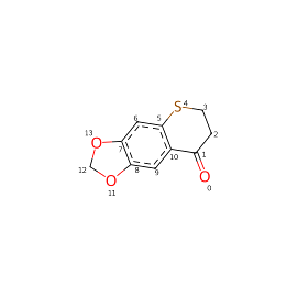 O=C1CCSc2cc3c(cc21)OCO3